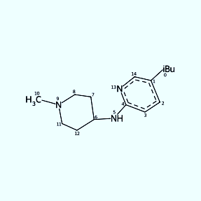 CCC(C)c1ccc(NC2CCN(C)CC2)nc1